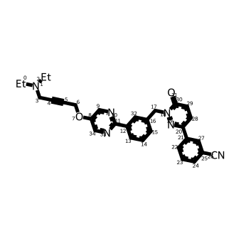 CCN(CC)CC#CCOc1cnc(-c2cccc(Cn3nc(-c4cccc(C#N)c4)ccc3=O)c2)nc1